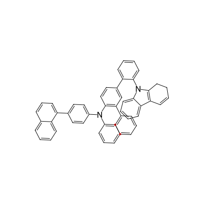 C1=Cc2c(n(-c3ccccc3-c3ccc(N(c4ccccc4)c4ccc(-c5cccc6ccccc56)cc4)c(-c4ccccc4)c3)c3ccccc23)CC1